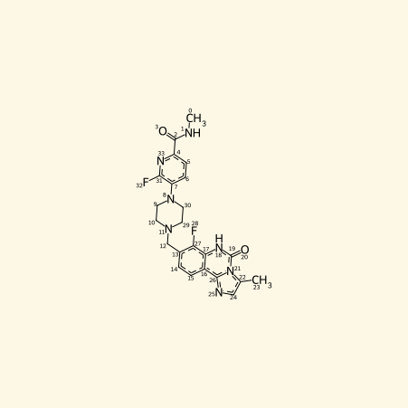 CNC(=O)c1ccc(N2CCN(Cc3ccc4c([nH]c(=O)n5c(C)cnc45)c3F)CC2)c(F)n1